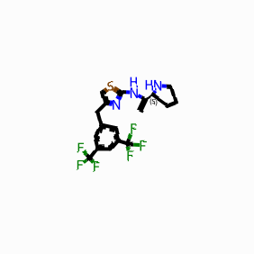 C=C(Nc1nc(Cc2cc(C(F)(F)F)cc(C(F)(F)F)c2)cs1)[C@@H]1CCCN1